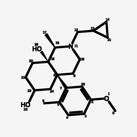 COc1ccc(C)c([C@]23CCN(CC4CC4)[C@H](C)[C@]2(O)CCC(O)C3)c1